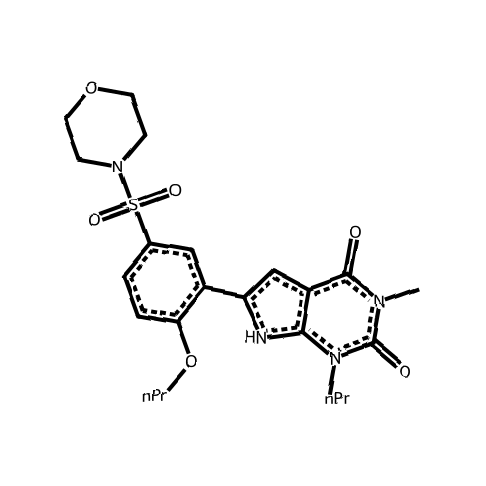 CCCOc1ccc(S(=O)(=O)N2CCOCC2)cc1-c1cc2c(=O)n(C)c(=O)n(CCC)c2[nH]1